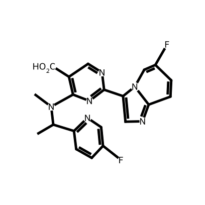 CC(c1ccc(F)cn1)N(C)c1nc(-c2cnc3ccc(F)cn23)ncc1C(=O)O